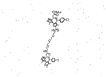 COC(=O)CC1N=C(c2ccc(Cl)cc2)c2c(sc(C(=O)NCCOCCOCCOCCNC(=O)CC3N=C(c4ccc(Cl)cc4)c4c(sc(C)c4C)-n4c(C)nnc43)c2C)-n2c(C)nnc21